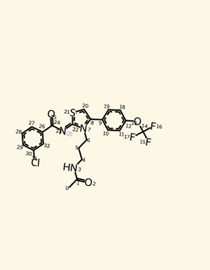 CC(=O)NCCCn1c(-c2ccc(OC(F)(F)F)cc2)cs/c1=N\C(=O)c1cccc(Cl)c1